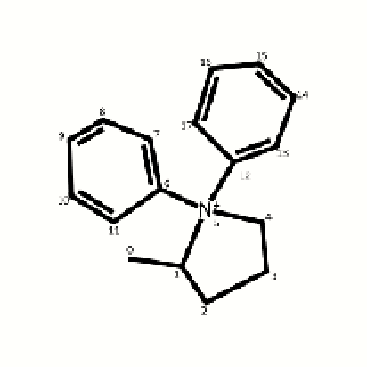 CC1CCC[N+]1(c1ccccc1)c1ccccc1